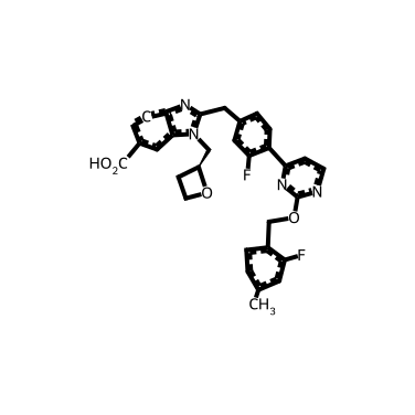 Cc1ccc(COc2nccc(-c3ccc(Cc4nc5ccc(C(=O)O)cc5n4C[C@@H]4CCO4)cc3F)n2)c(F)c1